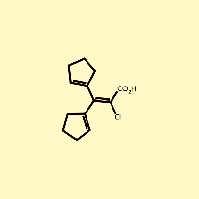 O=C(O)C(Cl)=C(C1=CCCC1)C1=CCCC1